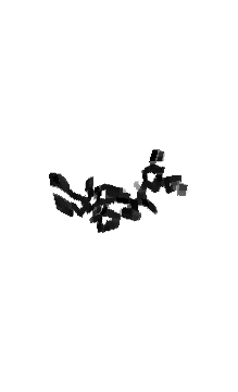 CCc1cc([C@@H](C)N(C)C(=O)N2CCN3C(=O)C(CCO)(CCO)C[C@H]3[C@@H]2c2ccccc2C)cc(C(F)(F)F)c1